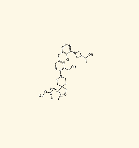 CC(O)C1CN(c2nccc(Sc3cnc(N4CCC5(CC4)CO[C@@H](C)[C@H]5NC(=O)OC(C)(C)C)c(CO)n3)c2Cl)C1